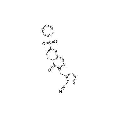 N#Cc1sccc1Cn1ncc2cc(S(=O)(=O)c3ccccc3)ccc2c1=O